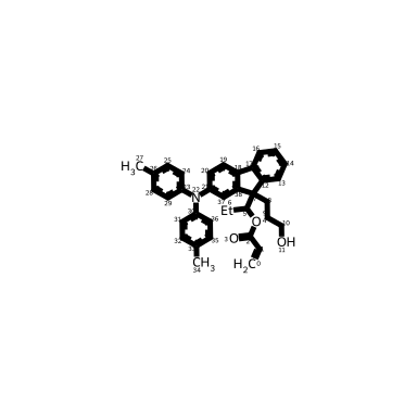 C=CC(=O)OC(CC)C1(CCCO)c2ccccc2-c2ccc(N(c3ccc(C)cc3)c3ccc(C)cc3)cc21